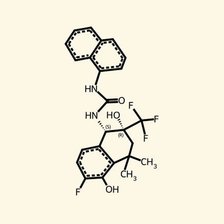 CC1(C)C[C@](O)(C(F)(F)F)[C@@H](NC(=O)Nc2cccc3ccccc23)c2ccc(F)c(O)c21